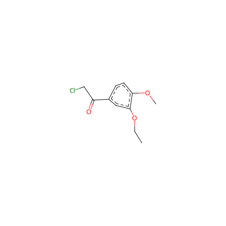 CCOc1cc(C(=O)CCl)ccc1OC